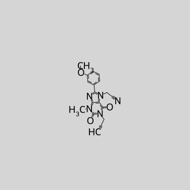 C#CCn1c(=O)c2c(nc(-c3cccc(OC)c3)n2CC#N)n(C)c1=O